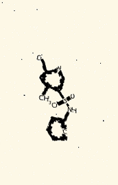 Cc1cc(Cl)ncc1S(=O)(=O)Nc1ccccc1